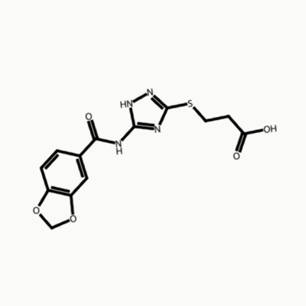 O=C(O)CCSc1n[nH]c(NC(=O)c2ccc3c(c2)OCO3)n1